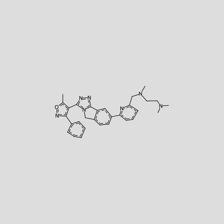 Cc1onc(-c2ccccc2)c1-c1nnc2n1Cc1ccc(-c3cccc(CN(C)CCN(C)C)n3)cc1-2